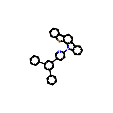 c1ccc(-c2cc(-c3ccccc3)cc(-c3ccc(-n4c5ccccc5c5ccc6c7ccccc7sc6c54)nc3)c2)cc1